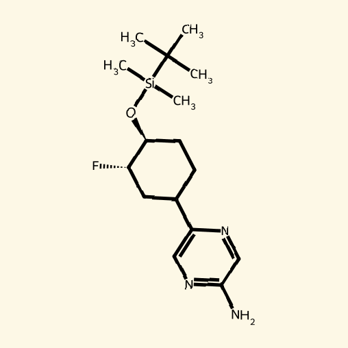 CC(C)(C)[Si](C)(C)O[C@H]1CCC(c2cnc(N)cn2)C[C@@H]1F